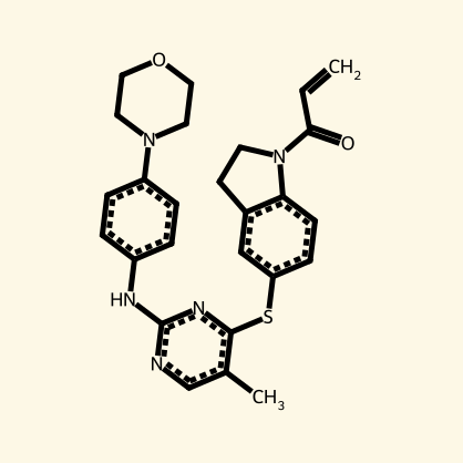 C=CC(=O)N1CCc2cc(Sc3nc(Nc4ccc(N5CCOCC5)cc4)ncc3C)ccc21